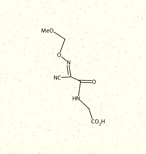 COCO/N=C(\C#N)C(=O)NCC(=O)O